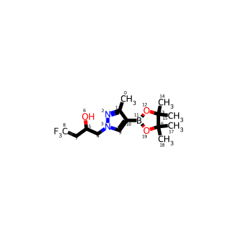 Cc1nn(CC(O)CC(F)(F)F)cc1B1OC(C)(C)C(C)(C)O1